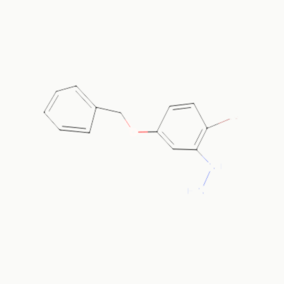 NNc1cc(OCc2ccccc2)ccc1Br